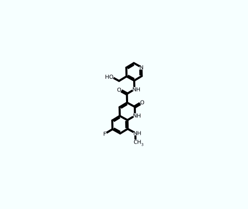 CNc1cc(F)cc2cc(C(=O)Nc3cnccc3CO)c(=O)[nH]c12